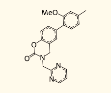 COc1cc(C)ccc1-c1ccc2c(c1)CN(Cc1ncccn1)C(=O)O2